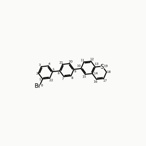 Brc1cccc(-c2ccc(-c3ccc4c(c3)C=CCS4)cc2)c1